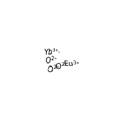 [Eu+3].[O-2].[O-2].[O-2].[Yb+3]